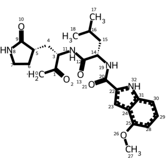 [CH2]C(=O)[C@H](C[C@@H]1CCNC1=O)NC(=O)[C@H](CC(C)C)NC(=O)c1cc2c(OC)cccc2[nH]1